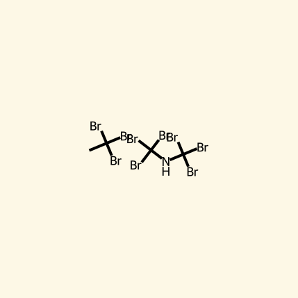 BrC(Br)(Br)NC(Br)(Br)Br.CC(Br)(Br)Br